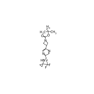 CC(C)(C)OC(=O)N1CC(c2cnc(CNC3(C(F)(F)F)CC3)cn2)C1